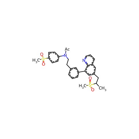 CC(=O)N(CCc1cccc(-c2cc(CC(C)S(C)(=O)=O)cc3cccnc23)c1)c1ccc(S(C)(=O)=O)cc1